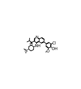 COc1cc(-c2ccc3ncc(C(=O)C(C)C)c(N[C@H]4CC[C@H](N(C)C)CC4)c3c2)cc(Cl)c1O